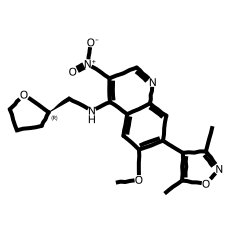 COc1cc2c(NC[C@H]3CCCO3)c([N+](=O)[O-])cnc2cc1-c1c(C)noc1C